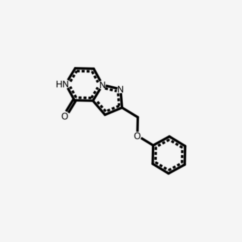 O=c1[nH]ccn2nc(COc3ccccc3)cc12